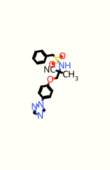 CC(C#N)(COc1ccc(-n2cncn2)cc1)NS(=O)(=O)Cc1ccccc1